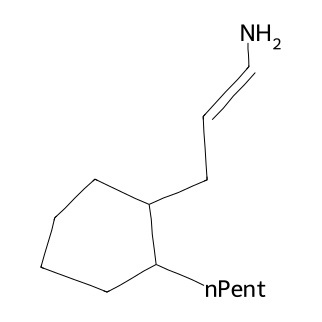 CCCCCC1CCCCC1CC=CN